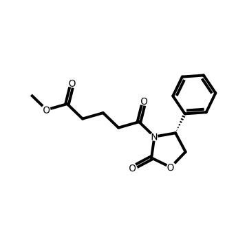 COC(=O)CCCC(=O)N1C(=O)OC[C@H]1c1ccccc1